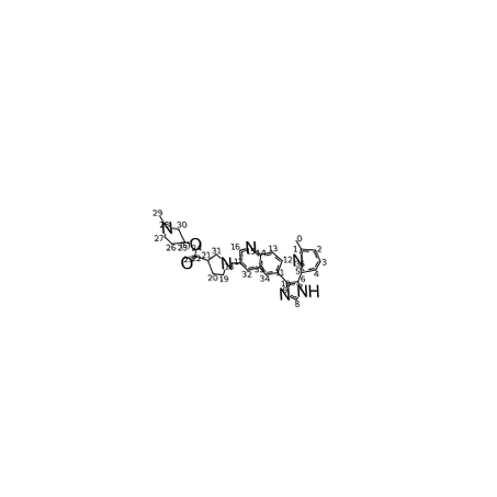 Cc1cccc(-c2[nH]cnc2-c2ccc3ncc(N4CCC(C(=O)O[C@H]5CCN(C)C5)C4)cc3c2)n1